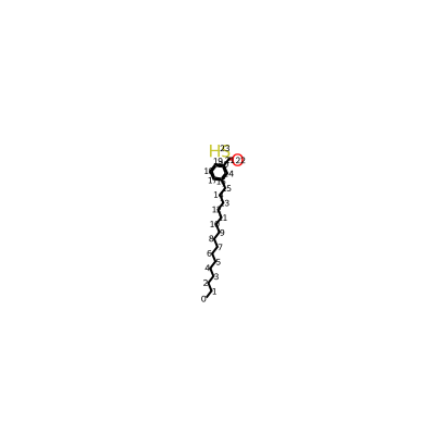 CCCCCCCCCCCCCCCCc1cccc(C(=O)S)c1